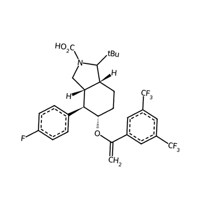 C=C(O[C@H]1CC[C@H]2C(C(C)(C)C)N(C(=O)O)C[C@H]2[C@@H]1c1ccc(F)cc1)c1cc(C(F)(F)F)cc(C(F)(F)F)c1